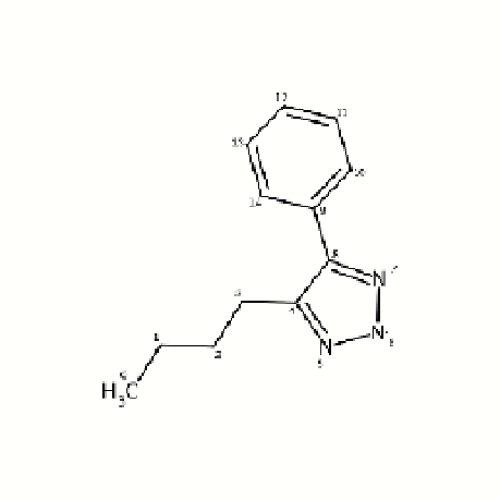 CCCCC1=N[N]N=C1c1ccccc1